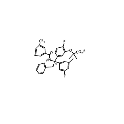 Cc1cc(F)cc([C@](Cc2ccccc2)(NC(=O)c2cccc(C(F)(F)F)c2)c2ccc(F)c(OC(C)(C)C(=O)O)c2)c1